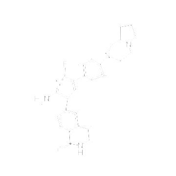 Nc1nc(F)c(-c2ccc(N3CCN4CCCC4C3)cc2)cc1-c1ccc2c(c1)CCNC2=O